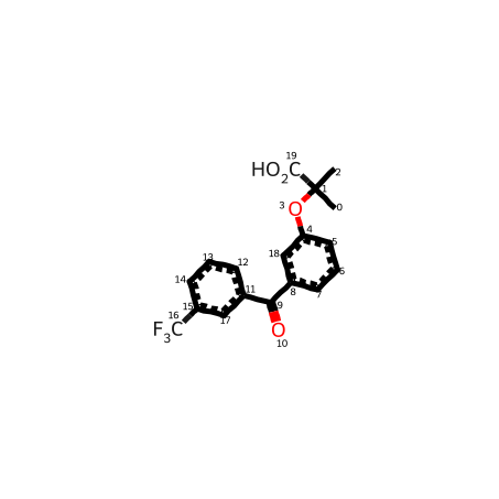 CC(C)(Oc1cccc(C(=O)c2cccc(C(F)(F)F)c2)c1)C(=O)O